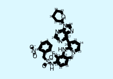 O=[N+]([O-])c1ccccc1CS(=O)(=O)Nc1ccc(F)c(Nc2ncccc2-c2ncnc3c2ncn3C2CCCCO2)c1F